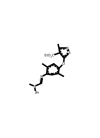 CCOC(=O)c1c(C)nsc1Oc1cc(C)c(/N=C/N(C)C(C)C)cc1C